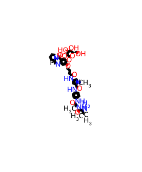 CC(C)[C@H](N)C(=O)N[C@@H](C)C(=O)Nc1ccc(NC(=O)c2cc(NC(=O)CCCOc3cc4c(cc3O[C@@H]3O[C@H](CO)[C@H](O)[C@H](O)[C@H]3O)C(=O)N3CCCC[C@H]3C=N4)cn2C)cc1